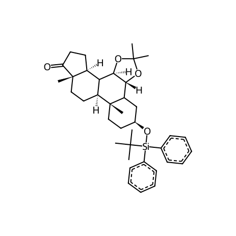 CC1(C)O[C@@H]2C3[C@H](CC[C@]4(C)C(=O)CC[C@@H]34)[C@@]3(C)CC[C@H](O[Si](c4ccccc4)(c4ccccc4)C(C)(C)C)CC3[C@H]2O1